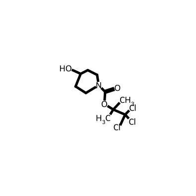 CC(C)(OC(=O)N1CCC(O)CC1)C(Cl)(Cl)Cl